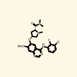 COc1cc2ncnc(Nc3cccc(Cl)c3F)c2cc1O[C@H]1C[C@H](C(=O)N(C)C)N(C)C1